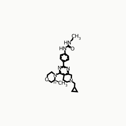 CCNC(=O)Nc1ccc(-c2nc3c(c(N4CCOC[C@@H]4C)n2)CCN(CC2CC2)C3)cc1